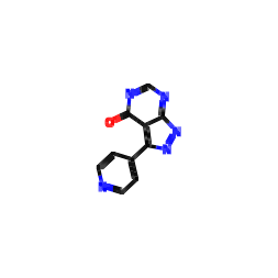 O=C1N=CN=C2N=NC(c3ccncc3)=C12